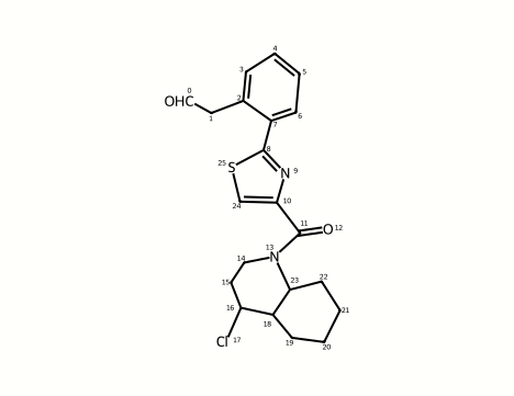 O=CCc1ccccc1-c1nc(C(=O)N2CCC(Cl)C3CCCCC32)cs1